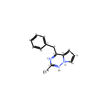 CCc1nc(Cc2ccccc2)c2cccn2n1